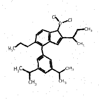 CCCc1ccc2c(c1-c1cc(C(C)C)cc(C(C)C)c1)C=C(C(C)CC)[CH]2[Zr]([Cl])[Cl]